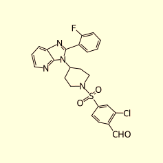 O=Cc1ccc(S(=O)(=O)N2CCC(n3c(-c4ccccc4F)nc4cccnc43)CC2)cc1Cl